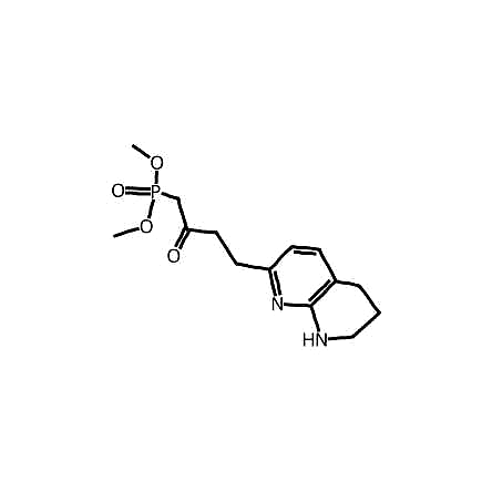 COP(=O)(CC(=O)CCc1ccc2c(n1)NCCC2)OC